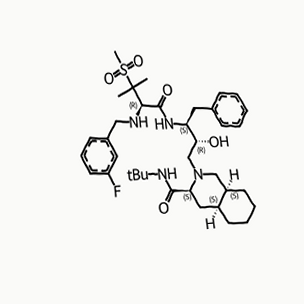 CC(C)(C)NC(=O)[C@@H]1C[C@@H]2CCCC[C@@H]2CN1C[C@@H](O)[C@H](Cc1ccccc1)NC(=O)[C@@H](NCc1cccc(F)c1)C(C)(C)S(C)(=O)=O